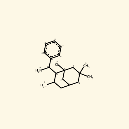 CC1CC2CC(C)(C)CC(Cl)(C2)C1C(N)c1ccccc1